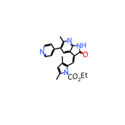 CCOC(=O)n1c(C)cc(C)c1C=C1C(=O)Nc2nc(C)c(-c3ccncc3)cc21